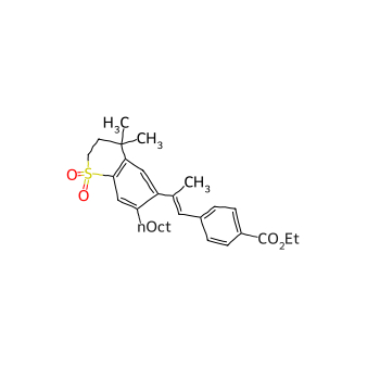 CCCCCCCCc1cc2c(cc1C(C)=Cc1ccc(C(=O)OCC)cc1)C(C)(C)CCS2(=O)=O